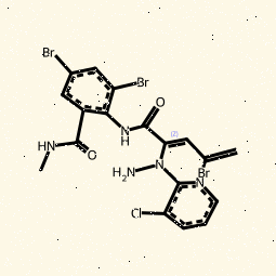 C=C(Br)/C=C(/C(=O)Nc1c(Br)cc(Br)cc1C(=O)NC)N(N)c1ncccc1Cl